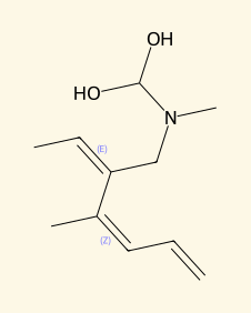 C=C/C=C(C)\C(=C/C)CN(C)C(O)O